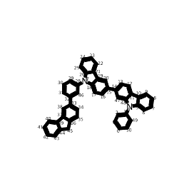 c1ccc(-n2c3ccccc3c3ccc(-c4ccc5c(c4)c4ccccc4n5-c4cccc(-c5ccc6c(c5)-c5ccccc5C6)c4)cc32)cc1